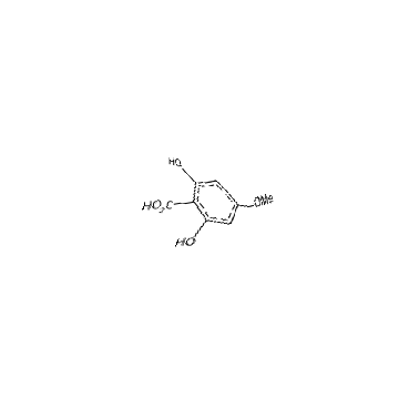 COc1cc(O)c(C(=O)O)c(O)c1